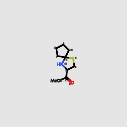 COC(=O)[C@@H]1CSC2(CCCC2)N1